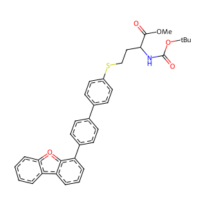 COC(=O)C(CCSc1ccc(-c2ccc(-c3cccc4c3oc3ccccc34)cc2)cc1)NC(=O)OC(C)(C)C